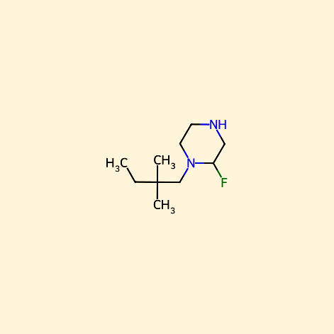 CCC(C)(C)CN1CCNCC1F